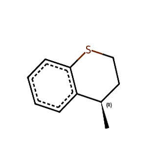 C[C@@H]1CCSc2ccccc21